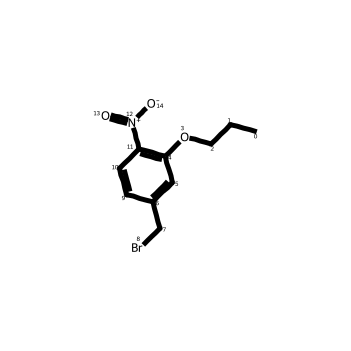 CCCOc1cc(CBr)ccc1[N+](=O)[O-]